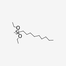 CCCCCCCCC[Si](C)(OCC)OCC